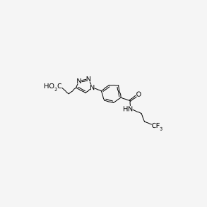 O=C(O)Cc1cn(-c2ccc(C(=O)NCCC(F)(F)F)cc2)nn1